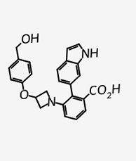 O=C(O)c1cccc(N2CC(Oc3ccc(CO)cc3)C2)c1-c1ccc2cc[nH]c2c1